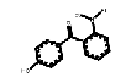 CCN(CC)c1ccccc1C(=O)c1ccc(O)cc1